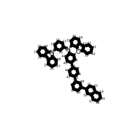 c1cc(-c2ccc(-c3ccc(N(c4cccc(-n5c6ccccc6c6ccccc65)c4)c4cccc5c4oc4ccccc45)cc3)cc2)cc(-c2ccc3ccccc3c2)c1